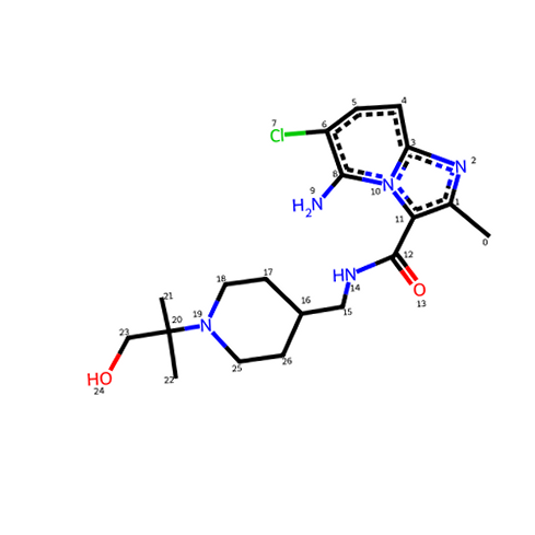 Cc1nc2ccc(Cl)c(N)n2c1C(=O)NCC1CCN(C(C)(C)CO)CC1